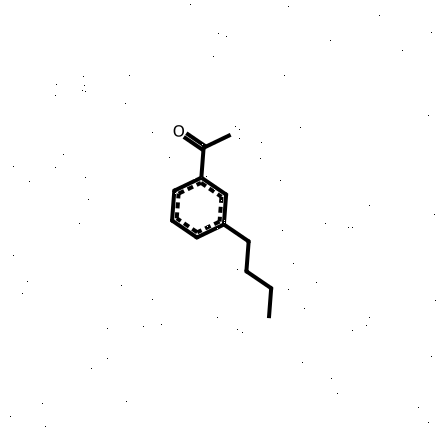 CCCCc1cccc(C(C)=O)c1